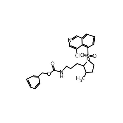 CC1CCN(S(=O)(=O)c2cccc3cncc(Cl)c23)C1CCCNC(=O)OCc1ccccc1